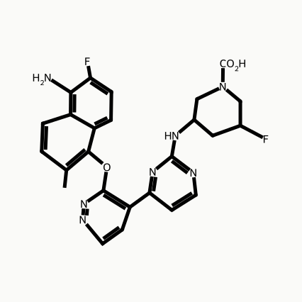 Cc1ccc2c(N)c(F)ccc2c1Oc1nnccc1-c1ccnc(NC2CC(F)CN(C(=O)O)C2)n1